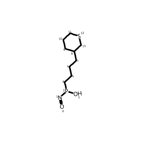 O=NP(O)CCCCC1CCCSC1